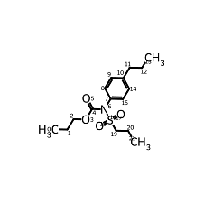 CCCOC(=O)N(c1ccc(CCC)cc1)S(=O)(=O)CCC